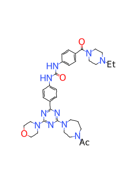 CCN1CCN(C(=O)c2ccc(NC(=O)Nc3ccc(-c4nc(N5CCOCC5)nc(N5CCCN(C(C)=O)CC5)n4)cc3)cc2)CC1